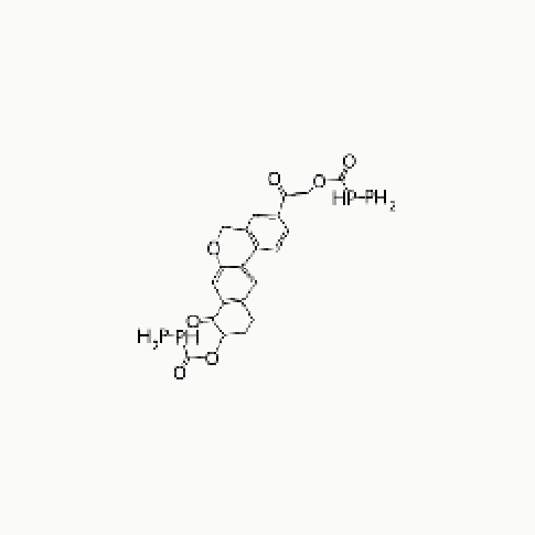 O=C(OCC(=O)c1ccc2c(c1)COc1cc3c(cc1-2)CCC(OC(=O)PP)C3=O)PP